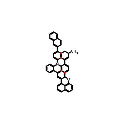 CC1C=C(c2ccccc2N(c2ccc(-c3ccc4ccccc4c3)cc2)c2ccccc2-c2ccc3c(c2)-c2cccc4cccc(c24)O3)C=CC1